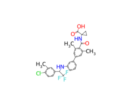 Cc1cc(C(Nc2cccc(-c3cc(C)c(C(=O)NC4(C(=O)O)CC4)c(C)c3)c2)C(F)(F)F)ccc1Cl